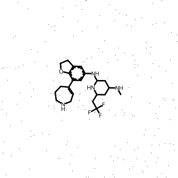 CNC1CC(CC(F)(F)F)NC(Nc2cc3c(c(C4=CCNCCC4)c2)OCC3)C1